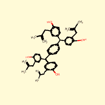 C=C(C)Cc1cc(C(c2ccc(C(c3ccc(O)c(CC(=C)C)c3)c3ccc(O)c(CC(=C)C)c3)cc2)c2ccc(O)c(CC(=C)C)c2)ccc1O